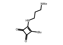 CNCCCNc1c(C(C)(C)C)c(=O)c1=O